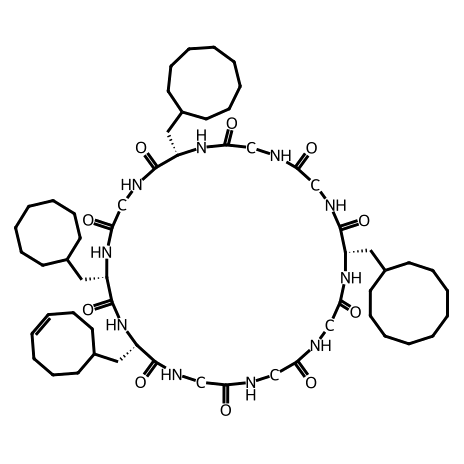 O=C1CNC(=O)CNC(=O)[C@H](CC2CC/C=C\CCC2)NC(=O)[C@H](CC2CCCCCCC2)NC(=O)CNC(=O)[C@H](CC2CCCCCCCC2)NC(=O)CNC(=O)CNC(=O)[C@H](CC2CCCCCCCCC2)NC(=O)CN1